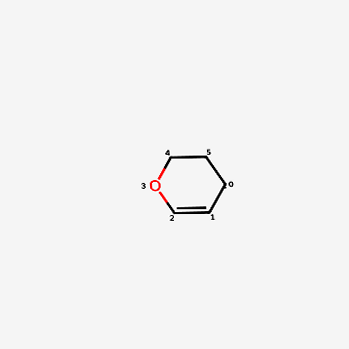 [CH]1C=COCC1